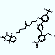 CNc1ccc([N+](=O)[O-])cc1-n1cnc(-c2ccc(C(F)(F)F)cc2OCCOC(=O)CCCC[C@@H]2SC[C@@H]3NC(=O)N[C@@H]32)c1